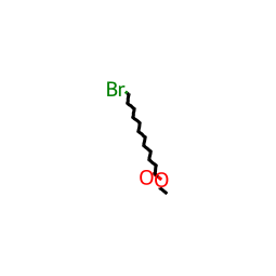 CCOC(=O)CCCCCCCCCCCBr